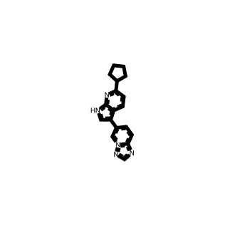 c1nc2ccc(-c3c[nH]c4nc(C5CCCC5)ccc34)cn2n1